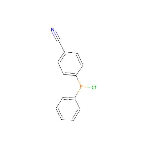 N#Cc1ccc(P(Cl)c2ccccc2)cc1